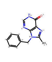 Bc1nc2c(=O)[nH]cnc2n1Cc1ccccc1